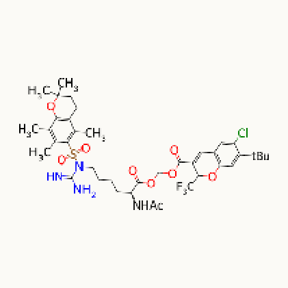 CC(=O)N[C@@H](CCCCN(C(=N)N)S(=O)(=O)c1c(C)c(C)c2c(c1C)CCC(C)(C)O2)C(=O)OCOC(=O)C1=Cc2cc(Cl)c(C(C)(C)C)cc2OC1C(F)(F)F